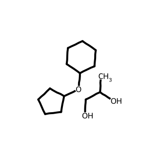 C1CCC(OC2CCCC2)CC1.CC(O)CO